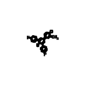 CC1=CC(=C2C=C(c3ccc(F)cc3)C(=O)C(c3ccc(F)cc3)=C2)C=CC1=O